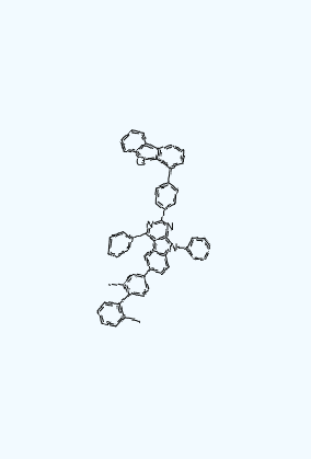 Cc1ccccc1-c1ccc(-c2ccc3c(c2)c2c(-c4ccccc4)nc(-c4ccc(-c5cccc6c5oc5ccccc56)cc4)nc2n3-c2ccccc2)cc1C